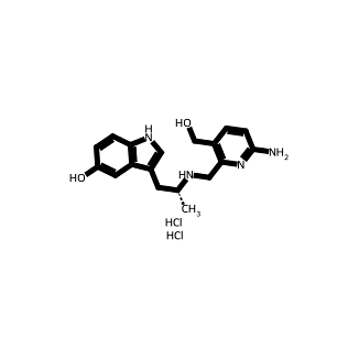 C[C@H](Cc1c[nH]c2ccc(O)cc12)NCc1nc(N)ccc1CO.Cl.Cl